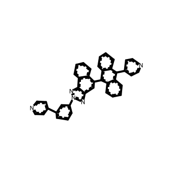 c1cc(-c2ccncc2)cc(-n2nc3cc(-c4c5ccccc5c(-c5ccncc5)c5ccccc45)c4ccccc4c3n2)c1